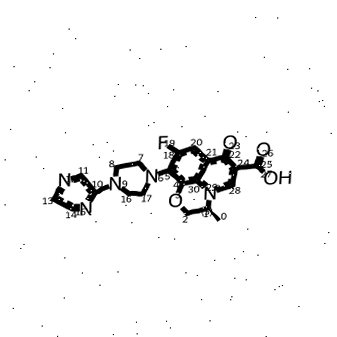 C[C@H]1COc2c(N3CCN(c4cnccn4)CC3)c(F)cc3c(=O)c(C(=O)O)cn1c23